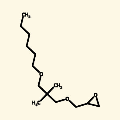 CCCCCCOCC(C)(C)COCC1CO1